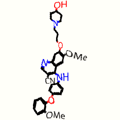 COc1cc2c(Nc3ccc(Oc4ccccc4OC)cc3)c(C#N)cnc2cc1OCCCN1CCC(O)CC1